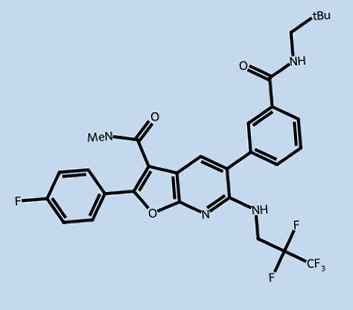 CNC(=O)c1c(-c2ccc(F)cc2)oc2nc(NCC(F)(F)C(F)(F)F)c(-c3cccc(C(=O)NCC(C)(C)C)c3)cc12